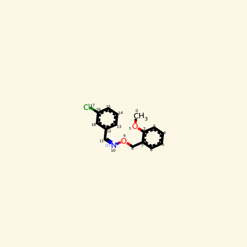 COc1ccccc1CO/N=[C]\c1cccc(Cl)c1